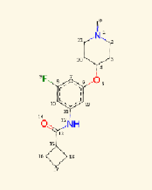 CN1CCC(Oc2cc(F)cc(NC(=O)C3CCC3)c2)CC1